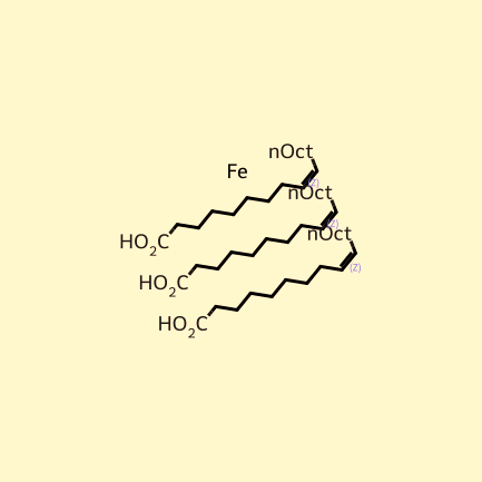 CCCCCCCC/C=C\CCCCCCCC(=O)O.CCCCCCCC/C=C\CCCCCCCC(=O)O.CCCCCCCC/C=C\CCCCCCCC(=O)O.[Fe]